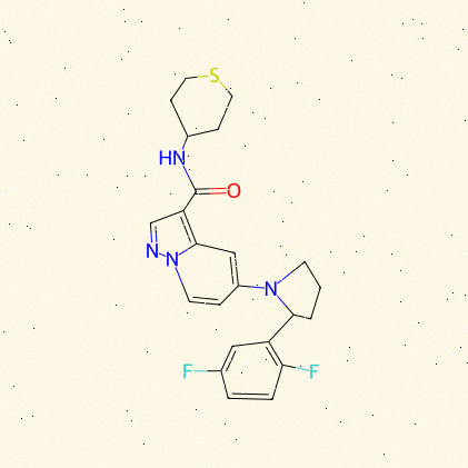 O=C(NC1CCSCC1)c1cnn2ccc(N3CCCC3c3cc(F)ccc3F)cc12